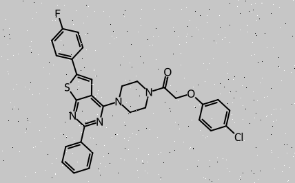 O=C(COc1ccc(Cl)cc1)N1CCN(c2nc(-c3ccccc3)nc3sc(-c4ccc(F)cc4)cc23)CC1